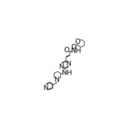 O=C(C=Cc1cnc(N[C@@H]2CCCN(Cc3ccncc3)C2)cn1)NOC1CCCCO1